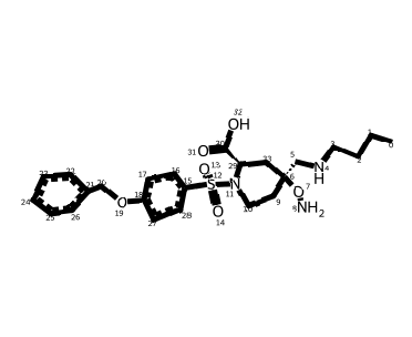 CCCCNC[C@]1(ON)CCN(S(=O)(=O)c2ccc(OCc3ccccc3)cc2)[C@@H](C(=O)O)C1